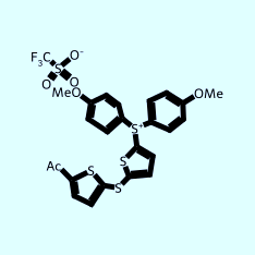 COc1ccc([S+](c2ccc(OC)cc2)c2ccc(Sc3ccc(C(C)=O)s3)s2)cc1.O=S(=O)([O-])C(F)(F)F